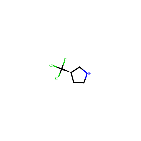 ClC(Cl)(Cl)[C@@H]1CCNC1